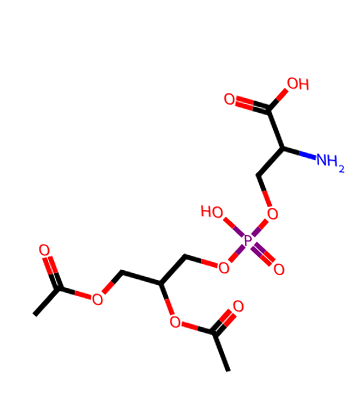 CC(=O)OCC(COP(=O)(O)OCC(N)C(=O)O)OC(C)=O